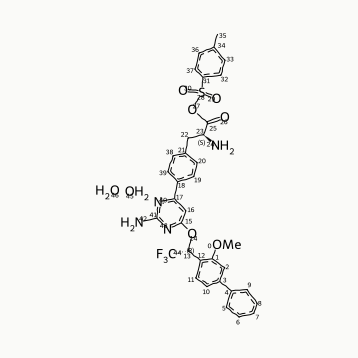 COc1cc(-c2ccccc2)ccc1[C@@H](Oc1cc(-c2ccc(C[C@H](N)C(=O)OS(=O)(=O)c3ccc(C)cc3)cc2)nc(N)n1)C(F)(F)F.O.O